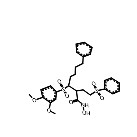 COc1ccc(S(=O)(=O)C(CCCCc2ccccc2)C(CCS(=O)(=O)c2ccccc2)C(=O)NO)cc1OC